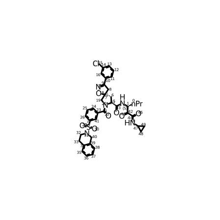 CCC[C@H](NC(=O)[C@@H]1C[C@]2(CC(c3cccc(Cl)c3)=NO2)CN1C(=O)c1cccc(S(=O)(=O)N2CCc3ccccc3C2)c1)C(=O)C(=O)NC1CC1